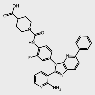 Nc1ncccc1-c1nc2ccc(-c3ccccc3)nc2n1-c1ccc(NC(=O)N2CCC(C(=O)O)CC2)c(F)c1